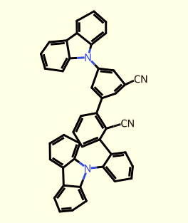 N#Cc1cc(-c2cccc(-c3ccccc3-n3c4ccccc4c4ccccc43)c2C#N)cc(-n2c3ccccc3c3ccccc32)c1